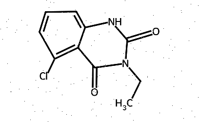 CCn1c(=O)[nH]c2cccc(Cl)c2c1=O